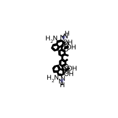 [H]/N=N/C1=C(N)c2ccccc2C(c2ccc(-c3ccc(C4(S(=O)(=O)O)c5ccccc5C(N)=C(/N=N/[H])C4O)cc3C)c(C)c2)(S(=O)(=O)O)C1O